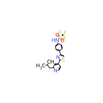 CC(C)Cc1cc(-c2nc(-c3ccc(NS(=O)(=O)C(F)(F)F)cc3)cs2)ccn1